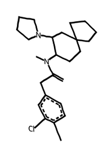 C=C(Cc1ccc(C)c(Cl)c1)N(C)C1CCC2(CCCC2)CC1N1CCCC1